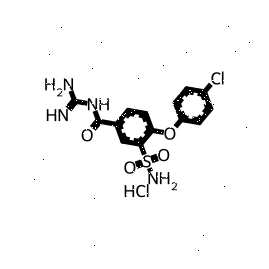 Cl.N=C(N)NC(=O)c1ccc(Oc2ccc(Cl)cc2)c(S(N)(=O)=O)c1